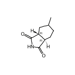 CC1CC[C@H]2C(=O)NC(=O)[C@@H]2C1